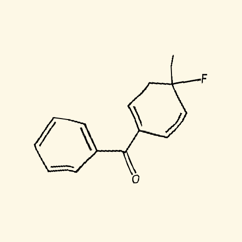 CC1(F)C=CC(C(=O)c2ccccc2)=CC1